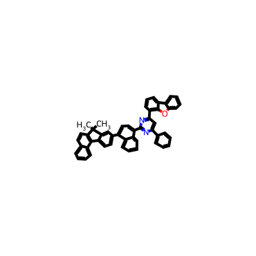 CC1(C)c2cc(-c3ccc(-c4nc(-c5ccccc5)cc(-c5cccc6c5oc5ccccc56)n4)c4ccccc34)ccc2-c2c1ccc1ccccc21